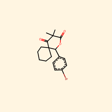 CC1(C)C(=O)OC(c2ccc(Br)cc2)C2(CCCCC2)C1=O